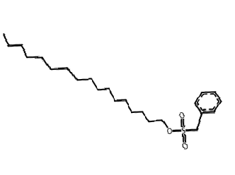 CCCCCCCCCCCCCCCCCOS(=O)(=O)Cc1ccccc1